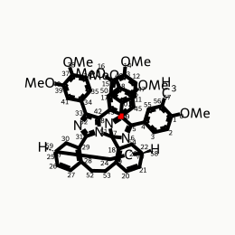 COc1ccc(C2=NC3(N=C2c2ccc(OC)c(OC)c2)C2=C4C=C[C@H](CC[C@H]5C=CC(=C(C5)c5nc(-c6ccc(OC)c(OC)c6)c(-c6ccc(OC)c(OC)c6)n53)CC4)C2)cc1C